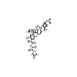 CCc1cc(Nc2nccn3c(-c4cn(CC(F)F)nc4C(F)(F)F)cnc23)ccc1C(=O)NCC(=O)N[C@@H]1CCNC1.O=CO